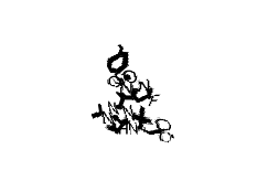 COC(=O)C[C@@H](Nc1nc(-c2cn(S(=O)(=O)c3ccc(C)cc3)c3ncc(F)cc23)nc2c1ccn2C(C)C)C(C)(C)C